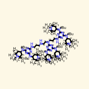 CCCCN(c1nc(NCCCNCCN(CCCNc2nc(N(CCCC)C3CC(C)(C)N(C)C(C)(C)C3)nc(N(CCCC)C3CC(C)(C)N(C)C(C)(C)C3)n2)c2nc(N(CCCC)C3CC(C)(C)N(C)C(C)(C)C3)nc(N(CCCC)C3CC(C)(C)N(C)C(C)(C)C3)n2)nc(N(CCCC)C2CC(C)(C)N(C)C(C)(C)C2)n1)C1CC(C)(C)N(C)C(C)(C)C1